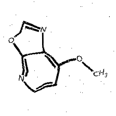 COc1ccnc2ocnc12